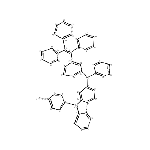 Fc1ccc(-n2c3ccccc3c3ccc(N(c4ccccc4)c4cccc(C(=C(c5ccccc5)c5ccccc5)c5ccccc5)c4)cc32)cc1